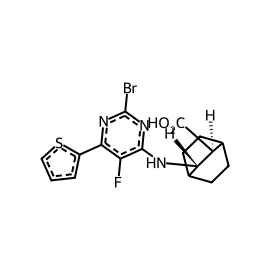 O=C(O)[C@H]1C2CCC(CC2)[C@@H]1Nc1nc(Br)nc(-c2cccs2)c1F